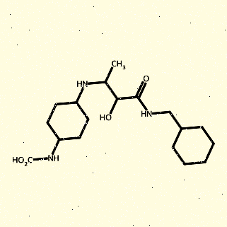 CC(NC1CCC(NC(=O)O)CC1)C(O)C(=O)NCC1CCCCC1